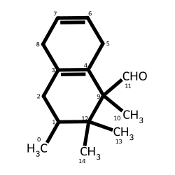 CC1CC2=C(CC=CC2)C(C)(C=O)C1(C)C